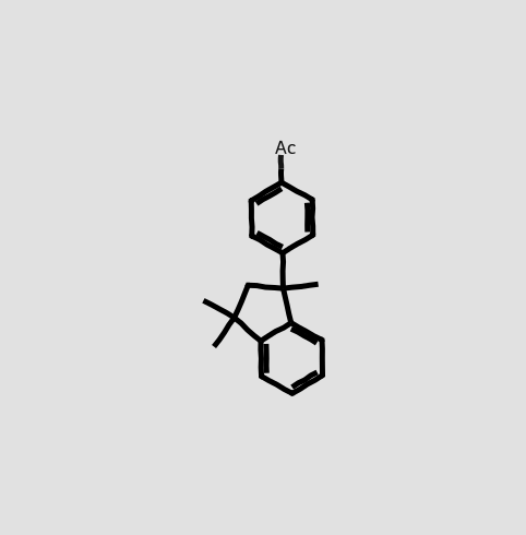 CC(=O)c1ccc(C2(C)CC(C)(C)c3ccccc32)cc1